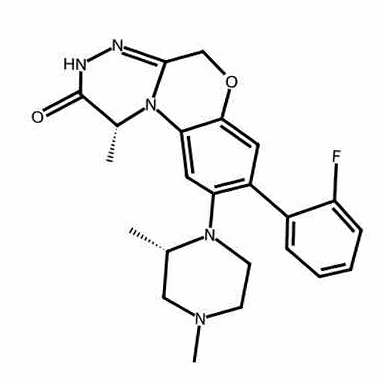 C[C@@H]1C(=O)NN=C2COc3cc(-c4ccccc4F)c(N4CCN(C)C[C@@H]4C)cc3N21